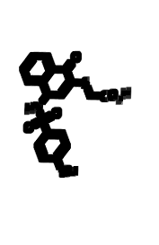 CC(C)(C)c1ccc(S(=O)(=O)NC2C=C(SCC(=O)O)C(=O)c3ccccc32)cc1